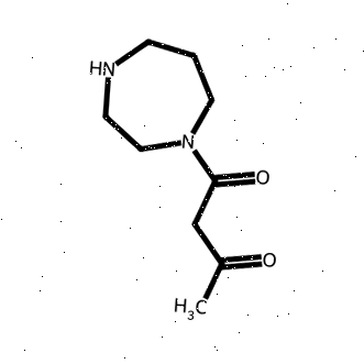 CC(=O)CC(=O)N1CCCNCC1